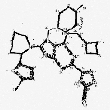 Cc1ccc(C2CCCCN2c2nc3nc(-c4noc(=O)[nH]4)nc(N[C@H](C)C4CCC4)c3n2C[C@H]2CC[C@H](C)CC2)o1